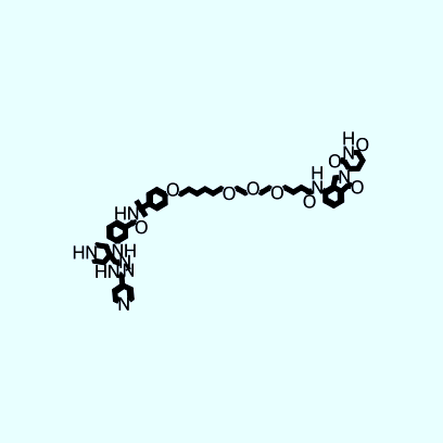 CC(C)(NC(=O)c1cccc(NC2(c3nnc(-c4ccncc4)[nH]3)CCNCC2)c1)c1ccc(OCCCCCCOCCOCCOCCCC(=O)Nc2cccc3c2CN(C2CCC(=O)NC2=O)C3=O)cc1